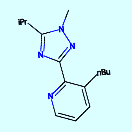 CCCCc1cccnc1-c1nc(C(C)C)n(C)n1